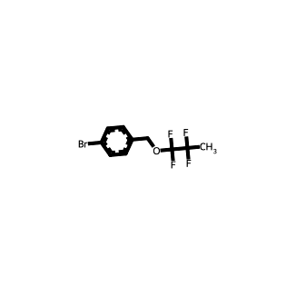 CC(F)(F)C(F)(F)OCc1ccc(Br)cc1